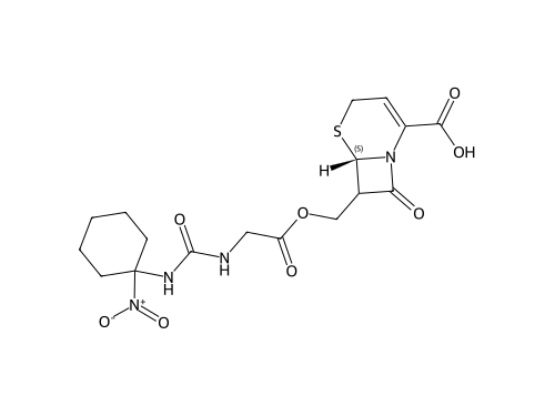 O=C(NCC(=O)OCC1C(=O)N2C(C(=O)O)=CCS[C@@H]12)NC1([N+](=O)[O-])CCCCC1